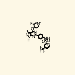 Cc1n[nH]c2nc(-c3ccc(NS(=O)(=O)c4cc(C(F)(F)F)ccn4)cc3)nc(O[C@@H]3CCN(C)C[C@@H]3F)c12